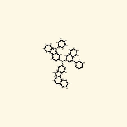 c1ccc(-c2cc(N(c3ccc4c(c3)sc3ccc5ccccc5c34)c3ccc4c5ccccc5n(-c5ccccc5)c4c3)cc3ccccc23)cc1